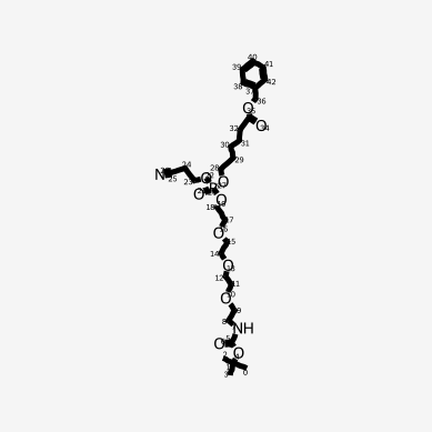 CC(C)(C)OC(=O)NCCOCCOCCOCCOP(=O)(OCCC#N)OCCCCCC(=O)OCc1ccccc1